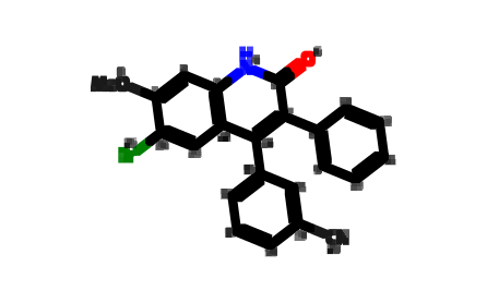 COc1cc2[nH]c(=O)c(-c3ccccc3)c(-c3cccc(C#N)c3)c2cc1Br